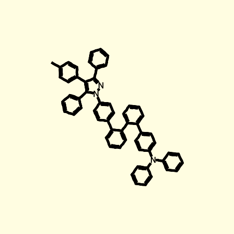 Cc1ccc(-c2c(-c3ccccc3)nn(-c3ccc(-c4ccccc4-c4ccccc4-c4ccc(N(c5ccccc5)c5ccccc5)cc4)cc3)c2-c2ccccc2)cc1